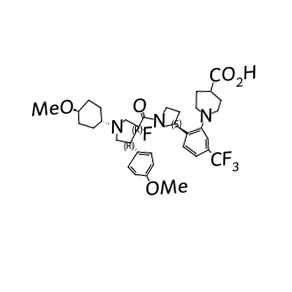 COc1ccc([C@@H]2CN([C@H]3CC[C@H](OC)CC3)C[C@@]2(F)C(=O)N2CC[C@@H](c3ccc(C(F)(F)F)cc3N3CCC(C(=O)O)CC3)C2)cc1